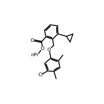 CCCOC(=O)c1cccc(C2CC2)c1COc1cc(Cl)c(C)cc1C